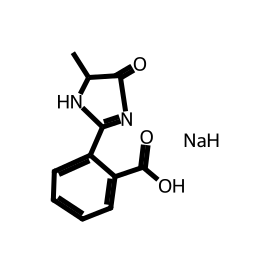 CC1NC(c2ccccc2C(=O)O)=NC1=O.[NaH]